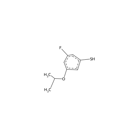 CC(C)Oc1cc(F)cc(S)c1